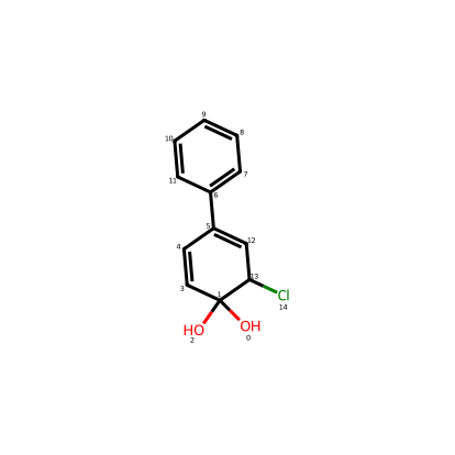 OC1(O)C=CC(c2ccccc2)=CC1Cl